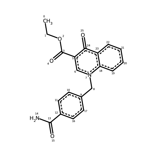 CCOC(=O)c1cn(Cc2ccc(C(N)=O)cc2)c2ccccc2c1=O